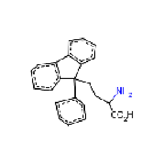 NC(CCC1(c2ccccc2)c2ccccc2-c2ccccc21)C(=O)O